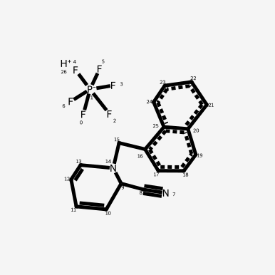 F[P-](F)(F)(F)(F)F.N#CC1C=CC=CN1Cc1cccc2ccccc12.[H+]